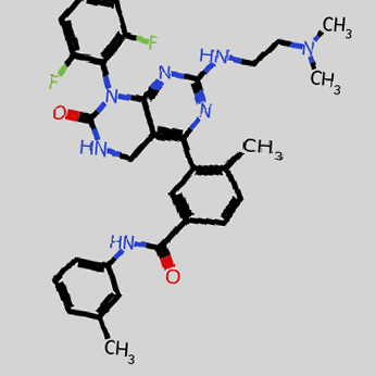 Cc1cccc(NC(=O)c2ccc(C)c(-c3nc(NCCN(C)C)nc4c3CNC(=O)N4c3c(F)cccc3F)c2)c1